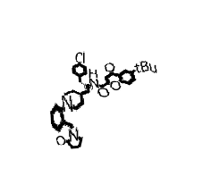 CC(C)(C)c1ccc2oc(C(=O)N[C@H](C=C3CCN(c4ccccc4CN4CCCC4=O)CC3)Cc3ccc(Cl)cc3)cc(=O)c2c1